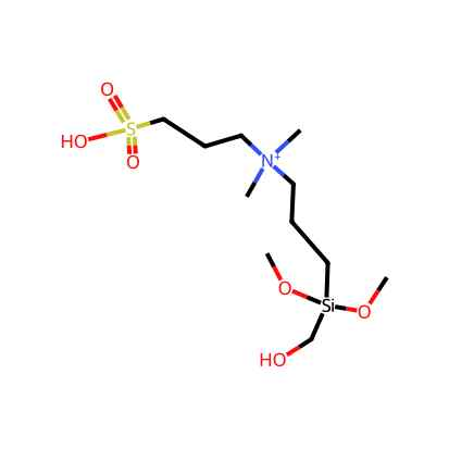 CO[Si](CO)(CCC[N+](C)(C)CCCS(=O)(=O)O)OC